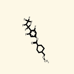 COCC1CCC(C(=O)Oc2cc(F)c(C(F)(F)C(F)C(F)(F)F)c(F)c2)CC1